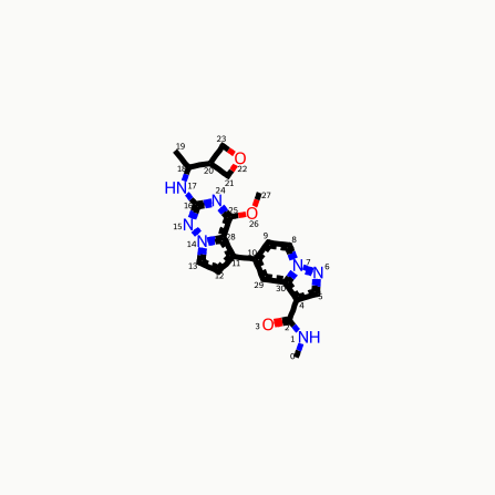 CNC(=O)c1cnn2ccc(-c3ccn4nc(NC(C)C5COC5)nc(OC)c34)cc12